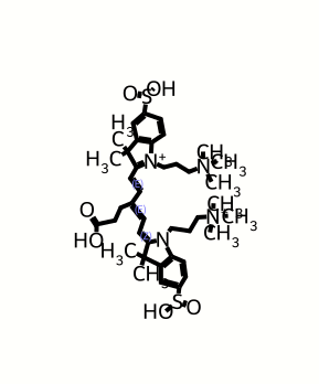 CC1(C)C(/C=C/C(=C/C=C2\N(CCC[N+](C)(C)C)c3ccc(S(=O)O)cc3C2(C)C)CCC(=O)O)=[N+](CCC[N+](C)(C)C)c2ccc(S(=O)O)cc21